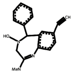 C#Cc1ccc2c(c1)C(c1ccccc1)N(O)CC(NC)=N2